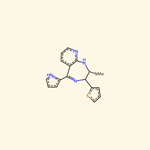 CNC1Nc2ncccc2C(c2ccc[nH]2)=NC1c1cccs1